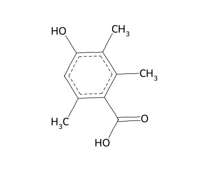 Cc1cc(O)c(C)c(C)c1C(=O)O